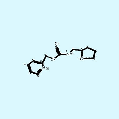 S=C(NCC1CCCO1)SCc1ccccn1